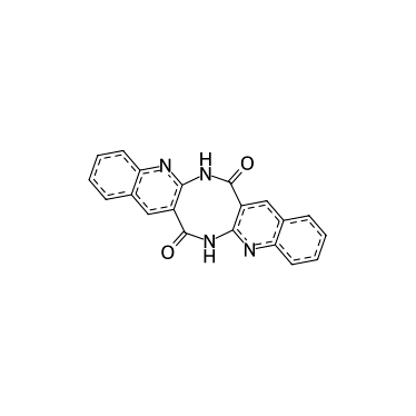 O=C1Nc2nc3ccccc3cc2C(=O)Nc2nc3ccccc3cc21